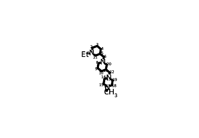 CCN1CCCC(CN2CCCC(CN3CCN(C)CC3)C2)C1